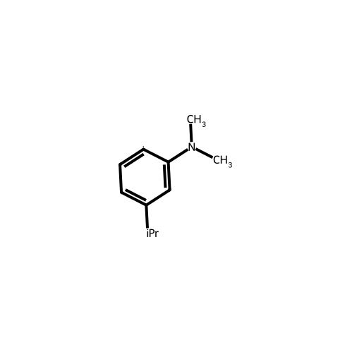 CC(C)c1cc[c]c(N(C)C)c1